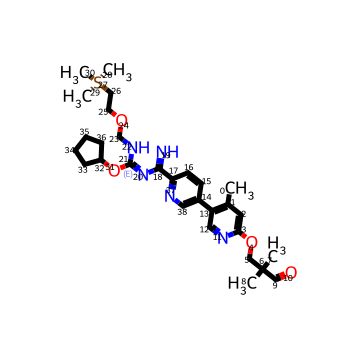 Cc1cc(OCC(C)(C)C=O)ncc1-c1ccc(C(=N)/N=C(\NCOCCS(C)(C)C)OC2CCCC2)nc1